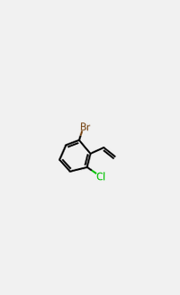 C=Cc1c(Cl)cccc1Br